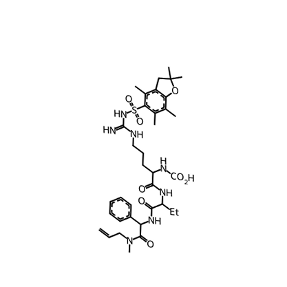 C=CCN(C)C(=O)C(NC(=O)C(CC)NC(=O)C(CCCNC(=N)NS(=O)(=O)c1c(C)c(C)c2c(c1C)CC(C)(C)O2)NC(=O)O)c1ccccc1